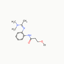 CCOCCC(=O)Nc1ccccc1N=C(C)N(C)C